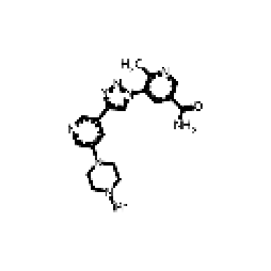 Cc1ncc(C(N)=O)cc1-n1cc(-c2cncc(N3CCN(C(C)C)CC3)c2)nn1